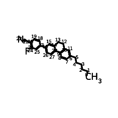 CCCCCCc1ccc2c(c1)CCc1cc(-c3ccc(C#N)c(F)c3)ccc1-2